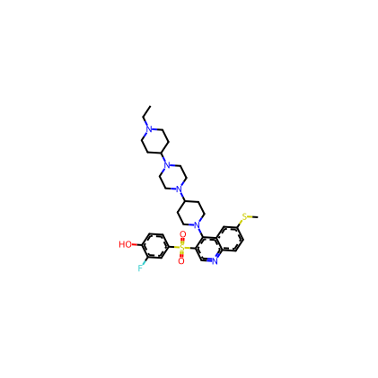 CCN1CCC(N2CCN(C3CCN(c4c(S(=O)(=O)c5ccc(O)c(F)c5)cnc5ccc(SC)cc45)CC3)CC2)CC1